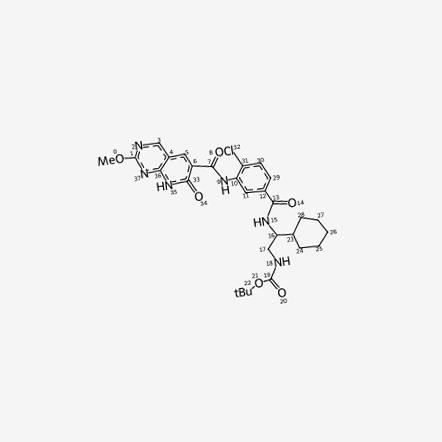 COc1ncc2cc(C(=O)Nc3cc(C(=O)NC(CNC(=O)OC(C)(C)C)C4CCCCC4)ccc3Cl)c(=O)[nH]c2n1